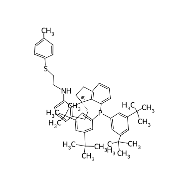 Cc1ccc(SCCNc2cccc3c2[C@@]2(CC3)CCc3cccc(P(c4cc(C(C)(C)C)cc(C(C)(C)C)c4)c4cc(C(C)(C)C)cc(C(C)(C)C)c4)c32)cc1